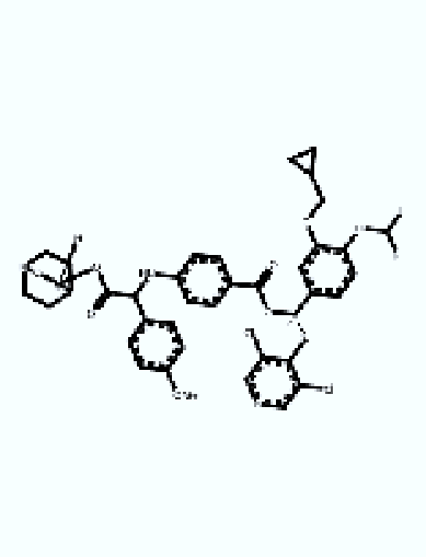 COc1ccc(C(Nc2ccc(C(=O)O[C@@H](Cc3c(Cl)cncc3Cl)c3ccc(OC(F)F)c(OCC4CC4)c3)cc2)C(=O)O[C@H]2CN3CCC2CC3)cc1